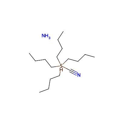 CCCC[SH](C#N)(CCCC)(CCCC)CCCC.N